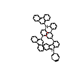 C1#CCC=C(n2c3ccccc3c3c(-c4cccc(-c5ccccc5N(c5ccc(-c6cc7ccccc7c7ccccc67)cc5)c5cc6ccccc6c6ccccc56)c4)cccc32)C=C1